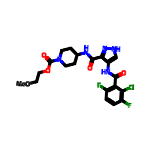 COCCOC(=O)N1CCC(NC(=O)c2n[nH]cc2NC(=O)c2c(F)ccc(F)c2Cl)CC1